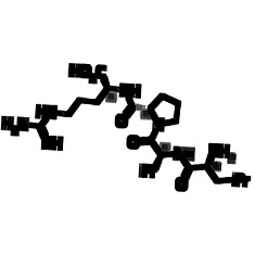 CC(C)C[C@H](N)C(=O)N[C@H](C(=O)N1CCC[C@H]1C(=O)N[C@@H](CCCNC(=N)N)C(=O)O)C(C)C